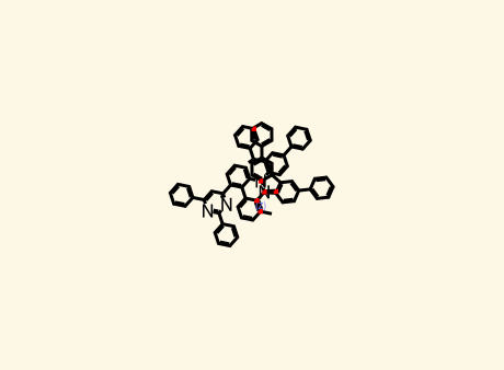 C=C(/C=C\C)N(c1ccc(-c2ccccc2)cc1C(C)c1ccccc1)c1cccc(-c2cc(-c3ccccc3)nc(-c3ccccc3)n2)c1-c1ccccc1-n1c2ccc(-c3ccccc3)cc2c2cc(-c3ccccc3)ccc21